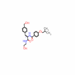 CC(C)COc1ccc(C(=O)N/C(=C\c2ccc(CO)cc2)C(=O)NCCO)cc1